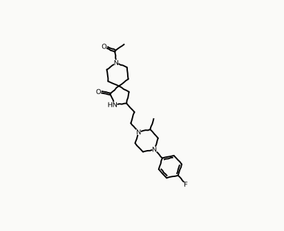 CC(=O)N1CCC2(CC1)CC(CCN1CCN(c3ccc(F)cc3)CC1C)NC2=O